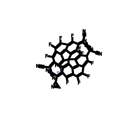 N#CC(C#N)=c1c(F)c2c3c(c(F)c(F)c4c(F)c(=C(C#N)C#N)c(F)c(c43)C23C2=C(F)C(C(C#N)C#N)C(F)=c4c(F)c(F)c5c(F)/c(=C(/C#N)C6C=N6)c(F)c3c5c42)c1F